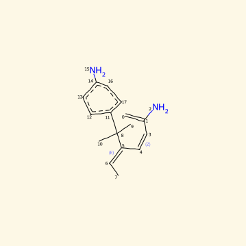 C=C(N)/C=C\C(=C/C)C(C)(C)c1ccc(N)cc1